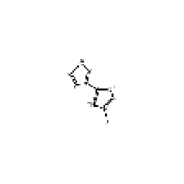 Brc1csc(-c2ccoc2)n1